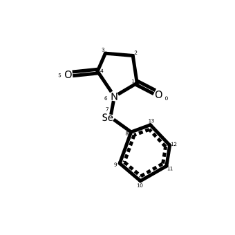 O=C1CCC(=O)N1[Se]c1ccccc1